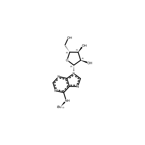 CC[C@H](C)Nc1ncnc2c1ncn2[C@@H]1O[C@H](CO)[C@@H](O)[C@H]1O